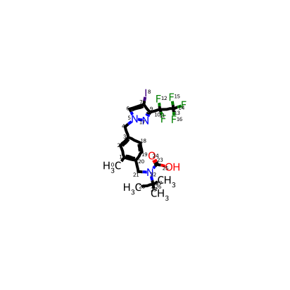 Cc1cc(Cn2cc(I)c(C(F)(F)C(F)(F)F)n2)ccc1CN(C(=O)O)C(C)(C)C